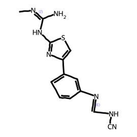 C/N=C(/N)Nc1nc(-c2cccc(/N=C/NC#N)c2)cs1